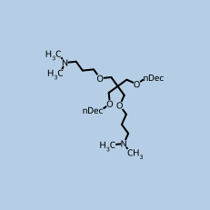 CCCCCCCCCCOCC(COCCCCCCCCCC)(COCCCN(C)C)COCCCN(C)C